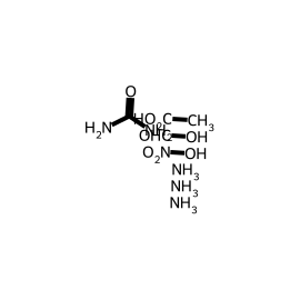 CC(=O)O.N.N.N.NC(N)=O.O=CO.O=[N+]([O-])O